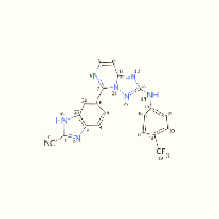 N#Cc1nc2ccc(-c3nccc4nc(Nc5ccc(C(F)(F)F)cc5)nn34)cc2[nH]1